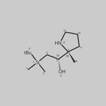 CC(C)(C)[Si](C)(C)C[C@@H](O)[C@@]1(C)CCCN1